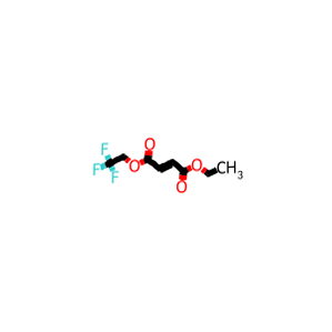 CCOC(=O)C=CC(=O)OCC(F)(F)F